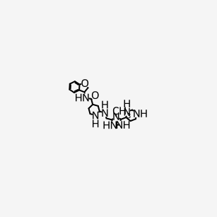 CN1C(CNC2CC(C(=O)N[C@@H]3COc4ccccc43)CCN2)NNC1C1CCNCN1